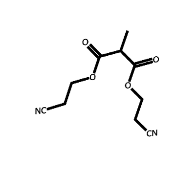 CC(C(=O)OCCC#N)C(=O)OCCC#N